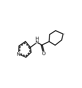 O=C(Nc1ccncc1)C1CC[CH]CC1